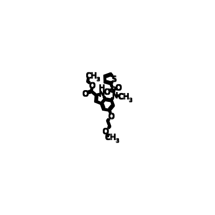 CCOC(=O)c1cc2cc(OCCOC)cc(N(C)S(=O)(=O)c3cccs3)c2[nH]1